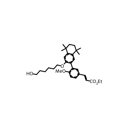 CCOC(=O)C=Cc1ccc(OC)c(-c2cc3c(cc2OCCCCCCO)C(C)(C)CCC3(C)C)c1